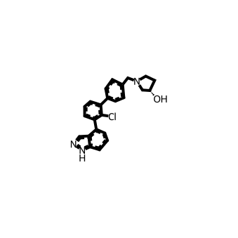 O[C@H]1CCN(Cc2ccc(-c3cccc(-c4cccc5[nH]ncc45)c3Cl)cc2)C1